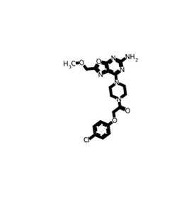 COCc1nc2c(N3CCN(C(=O)COc4ccc(Cl)cc4)CC3)nc(N)nc2o1